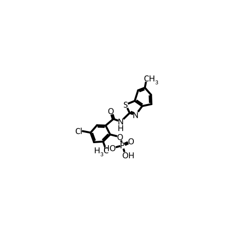 Cc1ccc2nc(NC(=O)c3cc(Cl)cc(C)c3OP(=O)(O)O)sc2c1